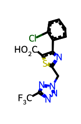 O=C(O)c1sc(Cn2nnc(C(F)(F)F)n2)nc1-c1ccccc1Cl